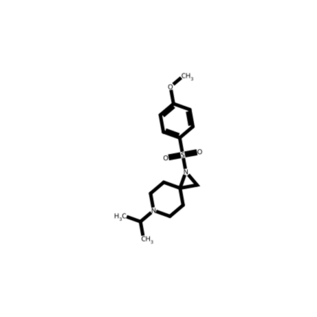 COc1ccc(S(=O)(=O)N2CC23CCN(C(C)C)CC3)cc1